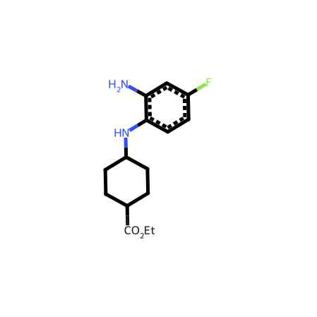 CCOC(=O)C1CCC(Nc2ccc(F)cc2N)CC1